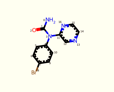 NC(=O)N(c1ccc(Br)cc1)c1cnccn1